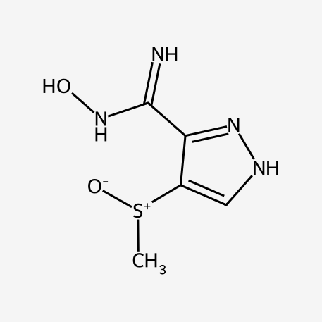 C[S+]([O-])c1c[nH]nc1C(=N)NO